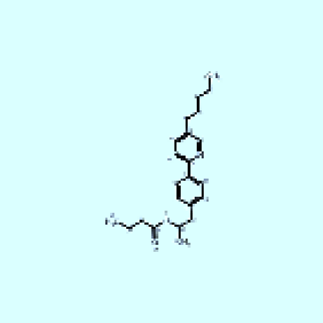 CCCCCc1cnc(-c2ccc(CC(C)OC(=O)CCC)cc2)nc1